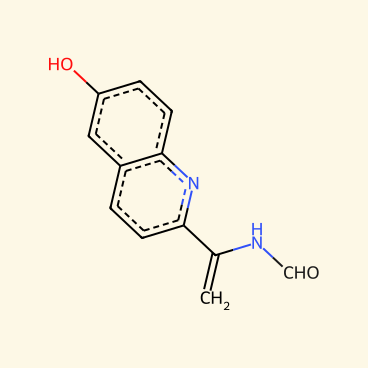 C=C(NC=O)c1ccc2cc(O)ccc2n1